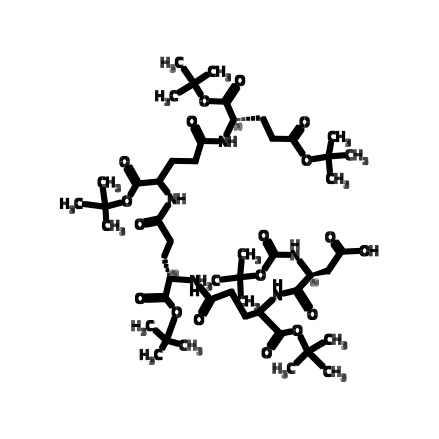 CC(C)(C)OC(=O)CC[C@H](NC(=O)CCC(NC(=O)CC[C@H](NC(=O)CCC(NC(=O)[C@H](CC(=O)O)NC(=O)OC(C)(C)C)C(=O)OC(C)(C)C)C(=O)OC(C)(C)C)C(=O)OC(C)(C)C)C(=O)OC(C)(C)C